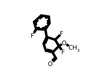 COC1(F)C(C=O)=CC=C(c2ccccc2F)C1F